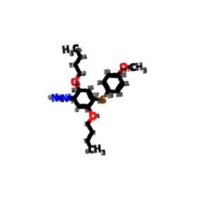 CCCCOC1=CC(=[N+]=[N-])C(OCCCC)C=C1Sc1ccc(OC)cc1